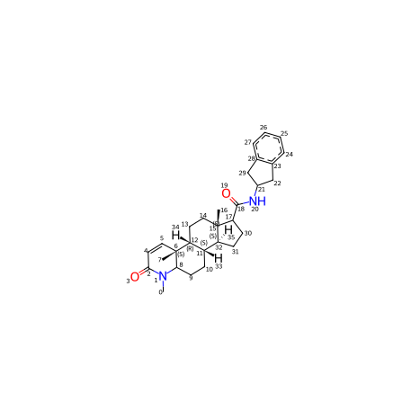 CN1C(=O)C=C[C@@]2(C)C1CC[C@@H]1[C@H]2CC[C@]2(C)C(C(=O)NC3Cc4ccccc4C3)CC[C@@H]12